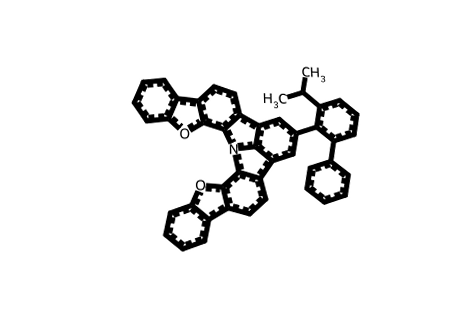 CC(C)c1cccc(-c2ccccc2)c1-c1cc2c3ccc4c5ccccc5oc4c3n3c2c(c1)c1ccc2c4ccccc4oc2c13